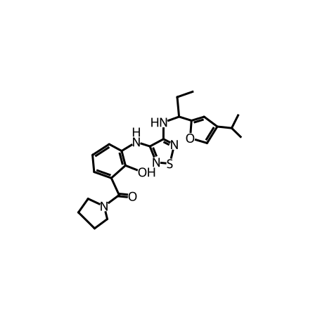 CCC(Nc1nsnc1Nc1cccc(C(=O)N2CCCC2)c1O)c1cc(C(C)C)co1